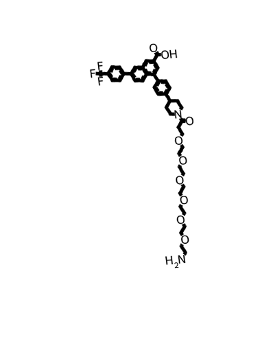 NCCOCCOCCOCCOCCOCCOCCC(=O)N1CCC(c2ccc(-c3cc(C(=O)O)cc4cc(-c5ccc(C(F)(F)F)cc5)ccc34)cc2)CC1